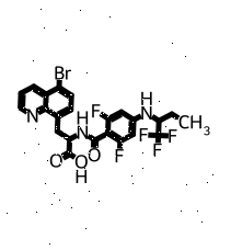 CCC(Nc1cc(F)c(C(=O)NC(Cc2ccc(Br)c3cccnc23)C(=O)O)c(F)c1)C(F)(F)F